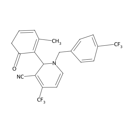 CC1=C(C2C(C#N)=C(C(F)(F)F)C=CN2Cc2ccc(C(F)(F)F)cc2)C(=O)CC=C1